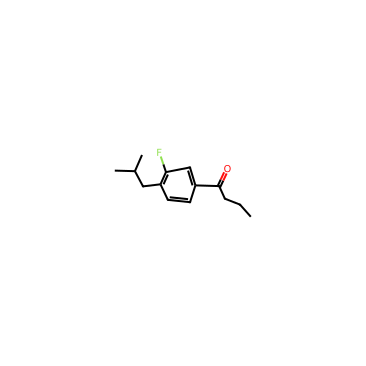 CCCC(=O)c1ccc(CC(C)C)c(F)c1